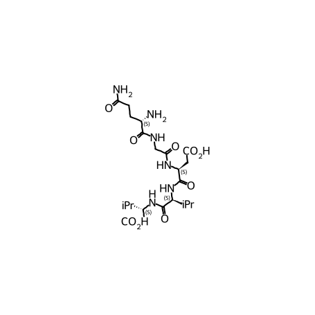 CC(C)[C@H](NC(=O)[C@@H](NC(=O)[C@H](CC(=O)O)NC(=O)CNC(=O)[C@@H](N)CCC(N)=O)C(C)C)C(=O)O